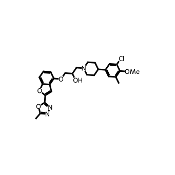 COc1c(C)cc(C2CCN(CC(O)COc3cccc4oc(-c5nnc(C)o5)cc34)CC2)cc1Cl